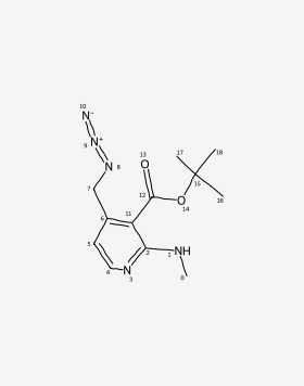 CNc1nccc(CN=[N+]=[N-])c1C(=O)OC(C)(C)C